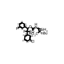 CCCC[C@@]1(C(=O)O)[SiH2]C1NC(=O)OC(c1cccc(F)c1)C(F)(F)c1cccc(Cl)c1